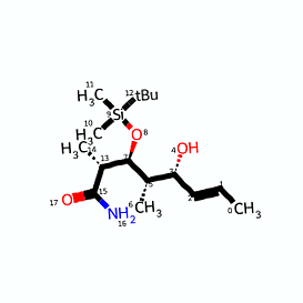 CC=C[C@@H](O)[C@H](C)[C@H](O[Si](C)(C)C(C)(C)C)[C@@H](C)C(N)=O